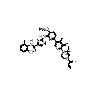 C=CC(=O)N1CCN2c3ncc(-c4ccc(OC)c(Nc5ncc(C(=O)Nc6c(C)cccc6Cl)s5)n4)c(C)c3OC[C@@H]2C1